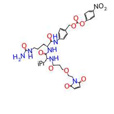 CC(C)[C@H](NC(=O)CCOCCN1C(=O)C=CC1=O)C(=O)N[C@@H](CCCNC(N)=O)C(=O)Nc1ccc(COC(=O)Oc2ccc([N+](=O)[O-])cc2)cc1